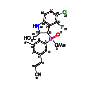 COP(=O)(c1cc(C)cc(/C=C/C#N)c1)C1c2c(ccc(Cl)c2F)NC1C(=O)O